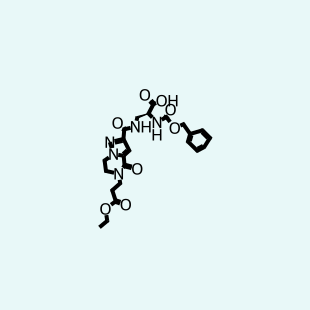 CCOC(=O)CCN1CCn2nc(C(=O)NC[C@H](NC(=O)OCc3ccccc3)C(=O)O)cc2C1=O